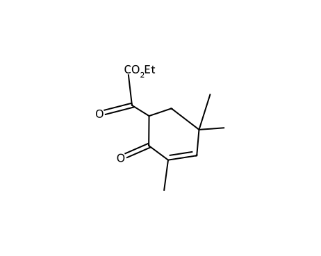 CCOC(=O)C(=O)C1CC(C)(C)C=C(C)C1=O